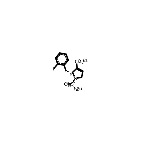 CCCC[S@+]([O-])N1CC=C(C(=O)OCC)[C@H]1Cc1ccccc1I